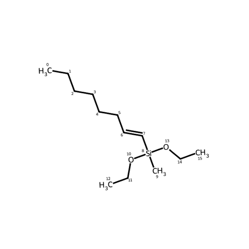 CCCCCCC=C[Si](C)(OCC)OCC